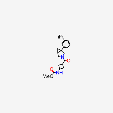 COC(=O)NC1CC(C(=O)N2CC3CC3(c3cccc(C(C)C)c3)C2)C1